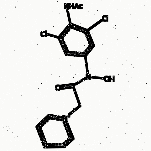 CC(=O)Nc1c(Cl)cc(N(O)C(=O)C[n+]2ccccc2)cc1Cl